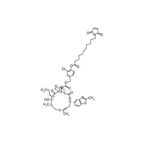 C=CC[C@H]1C(=O)C(C)(C)[C@@H](OC(=O)OCc2ccc(OC(=O)CCCCCCCCCCN3C(=O)C=CC3=O)c(Cl)c2)CC(=O)O[C@H](c2ccc3sc(C)nc3c2)C/C=C(/C)CCC[C@H](C)[C@@H]1O